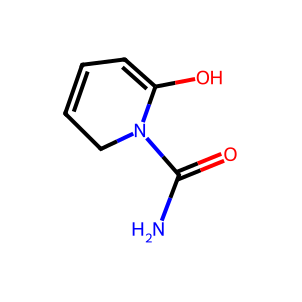 NC(=O)N1CC=CC=C1O